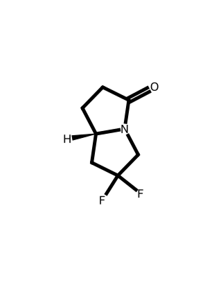 O=C1CC[C@H]2CC(F)(F)CN12